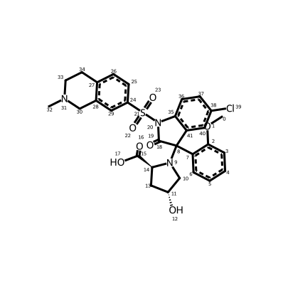 COc1ccccc1C1(N2C[C@H](O)C[C@H]2C(=O)O)C(=O)N(S(=O)(=O)c2ccc3c(c2)CN(C)CC3)c2ccc(Cl)cc21